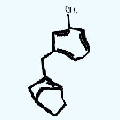 Cc1cccc(CC2=C3CCC(C3)C2)c1